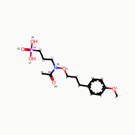 COc1ccc(CCCON(CCCP(=O)(O)O)C(C)=O)cc1